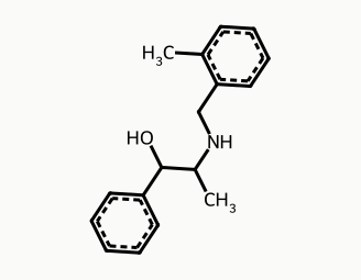 Cc1ccccc1CNC(C)C(O)c1ccccc1